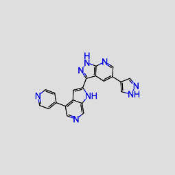 c1cc(-c2cncc3[nH]c(-c4n[nH]c5ncc(-c6cn[nH]c6)cc45)cc23)ccn1